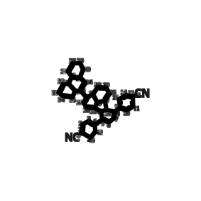 N#CC1=CC=C(C2=CC=C(c3ccc(C#N)cc3)C3C4=CC=CC5C(C6=CC7=C(C=CCC7)C7C=CC=CC67)=CC=C(C45)C23)CC1